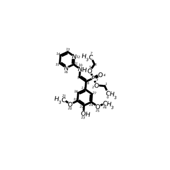 CCOP(=O)(OCC)C(=CNc1ncccn1)c1cc(OC)c(O)c(OC)c1